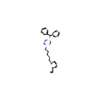 C=Cc1nc(CCCCCN2CCN(C(c3ccccc3)c3ccccc3)CC2)ccc1O